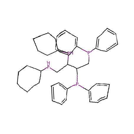 c1ccc(P(CC(C(CPC2CCCCC2)PC2CCCCC2)P(c2ccccc2)c2ccccc2)c2ccccc2)cc1